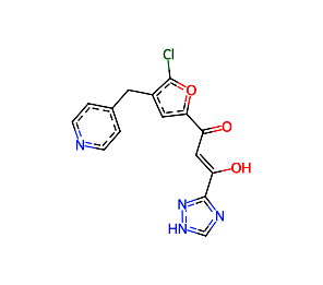 O=C(C=C(O)c1nc[nH]n1)c1cc(Cc2ccncc2)c(Cl)o1